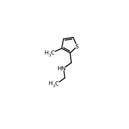 CCNCc1sccc1C